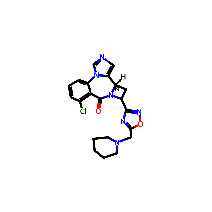 O=C1c2c(Cl)cccc2-n2cncc2[C@@H]2CC(c3noc(CN4CCCCC4)n3)N12